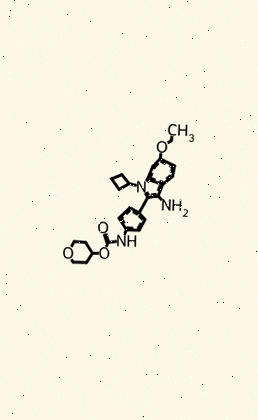 CCOc1ccc2c(N)c(-c3ccc(NC(=O)OC4CCOCC4)cc3)n(C3CCC3)c2c1